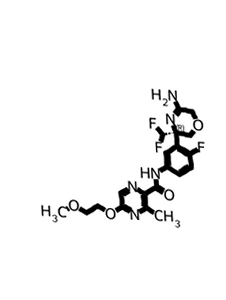 COCCOc1cnc(C(=O)Nc2ccc(F)c([C@]3(C(F)F)COCC(N)=N3)c2)c(C)n1